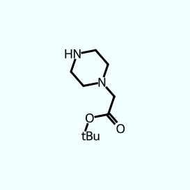 CC(C)(C)OC(=O)CN1CCNCC1